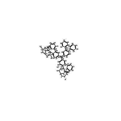 C[C@@H]1CC2C[C@@H](C1)[C@@]1(c3ccccc3-c3cc(N(c4ccc(-c5ccccc5)c(-c5ccccc5)c4)c4ccc5c(c4)-c4ccccc4[C@]54[C@H]5CC(C[C@@H](C)C5)C[C@@H]4C)ccc31)[C@@H](C)C2